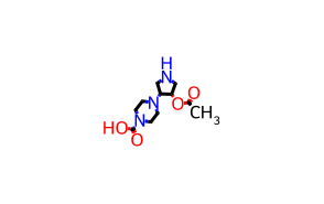 CC(=O)OC1CNCC1N1CCN(C(=O)O)CC1